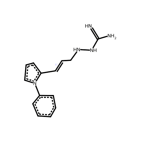 N=C(N)NNC/C=C/c1cccn1-c1ccccc1